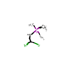 C[PH](C)(C)BC(Br)Br